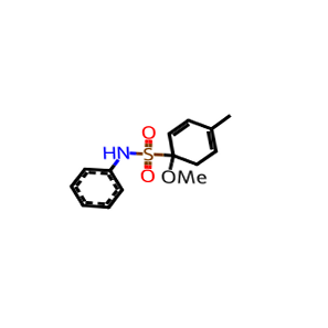 COC1(S(=O)(=O)Nc2ccccc2)C=CC(C)=CC1